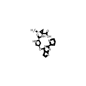 C=C[C@@H]1C[C@]1(NC(=O)[C@@H]1C[C@@H](Oc2nc(-c3ccccn3)nc3sccc23)CN1)C(=O)O